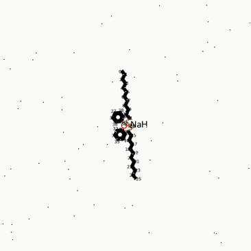 CCCCCCCCCCCCSSCCCCCCCCCCCC.[NaH].c1ccc(Oc2ccccc2)cc1